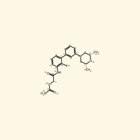 C[C@@H]1CN(c2cccc(-c3cccc(NC(=O)COC(N)=O)c3F)c2)C[C@H](C)O1